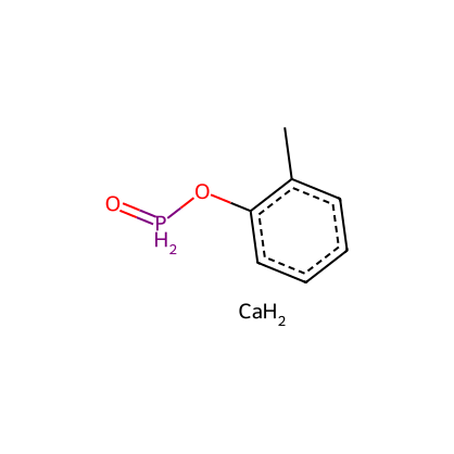 Cc1ccccc1O[PH2]=O.[CaH2]